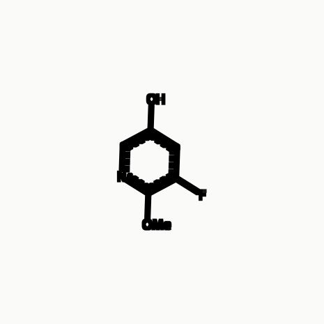 COc1ncc(O)cc1F